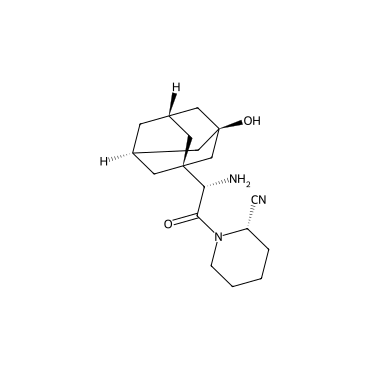 N#C[C@@H]1CCCCN1C(=O)[C@@H](N)[C@@]12C[C@@H]3C[C@@H](C[C@](O)(C3)C1)C2